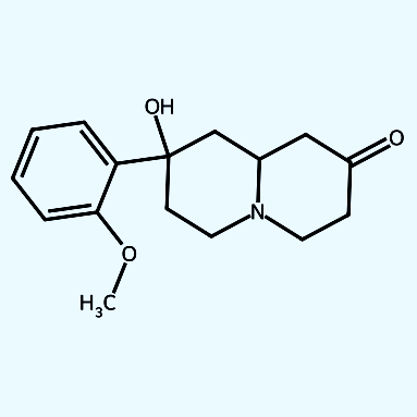 COc1ccccc1C1(O)CCN2CCC(=O)CC2C1